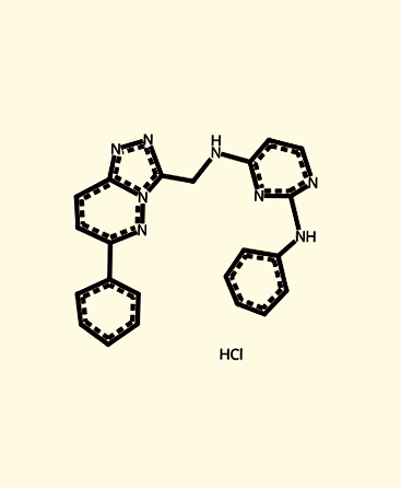 Cl.c1ccc(Nc2nccc(NCc3nnc4ccc(-c5ccccc5)nn34)n2)cc1